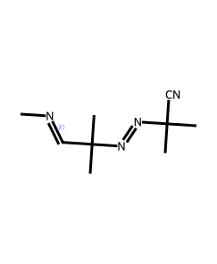 C/N=C/C(C)(C)N=NC(C)(C)C#N